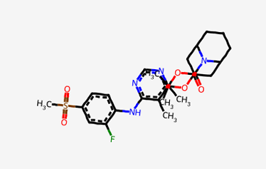 Cc1c(Nc2ccc(S(C)(=O)=O)cc2F)ncnc1OC1CC2CCCC(C1)N2C(=O)OC(C)(C)C